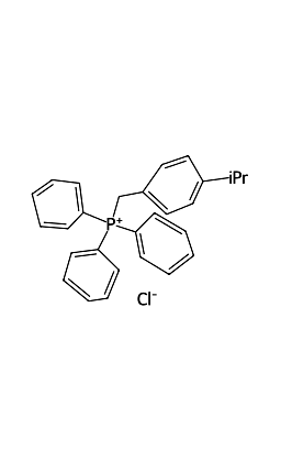 CC(C)c1ccc(C[P+](c2ccccc2)(c2ccccc2)c2ccccc2)cc1.[Cl-]